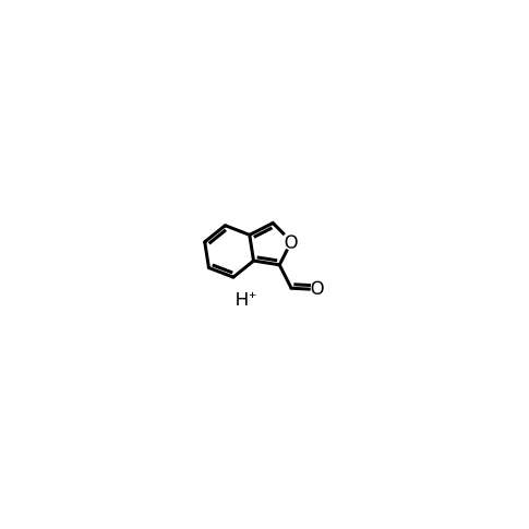 O=Cc1occ2ccccc12.[H+]